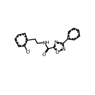 O=C(NCCc1ccccc1Cl)c1nc(-c2ccccc2)no1